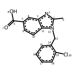 Cc1nc2cc(C(=O)O)ccc2n1Cc1ccccc1Cl